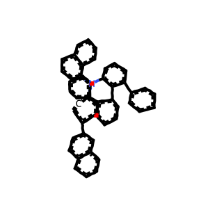 c1ccc(-c2ccccc2-c2c(-c3ccccc3)cccc2N(c2ccc(-c3ccc4ccccc4c3)cc2)c2cccc3ccccc23)cc1